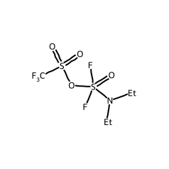 CCN(CC)S(=O)(F)(F)OS(=O)(=O)C(F)(F)F